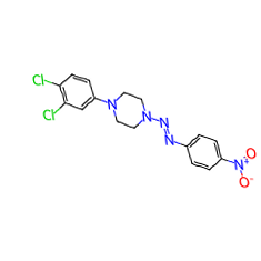 O=[N+]([O-])c1ccc(N=NN2CCN(c3ccc(Cl)c(Cl)c3)CC2)cc1